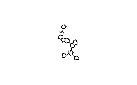 c1ccc(-c2nc(-c3ccccc3)nc(-c3cc(-c4ccc5c(c4)oc4ccc6nc(-c7ccccc7)sc6c45)c4ccccc4c3)n2)cc1